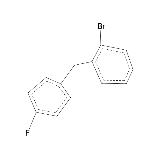 Fc1ccc(Cc2ccccc2Br)cc1